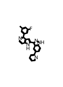 Cc1cc(F)cc(-c2nccc3[nH]c(-c4n[nH]c5ccc(-c6ccccn6)cc45)cc23)c1